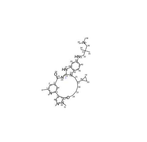 Cc1cc2cc(n1)-c1cnn(C)c1OCCCC(C1CC1)CN1/C(=N/C2=O)Nc2cc(NCC(C)(C)CN(C)C)ccc21